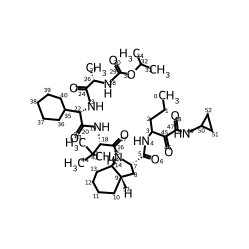 CCCC(NC(=O)[C@@H]1C[C@@H]2CCCC[C@@H]2N1C(=O)[C@@H](NC(=O)[C@@H](NC(=O)[C@H](C)NC(=O)OC(C)C)C1CCCCC1)C(C)(C)C)C(=O)C(=O)NC1CC1